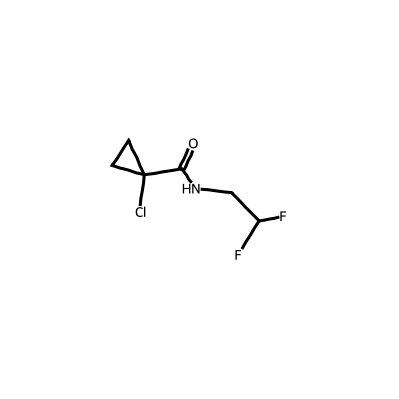 O=C(NCC(F)F)C1(Cl)CC1